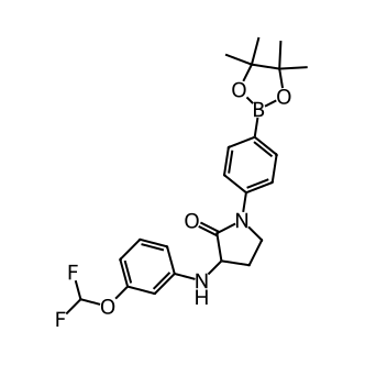 CC1(C)OB(c2ccc(N3CCC(Nc4cccc(OC(F)F)c4)C3=O)cc2)OC1(C)C